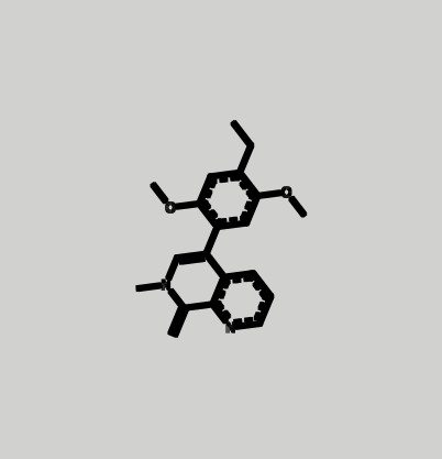 C=C1c2ncccc2C(c2cc(OC)c(CC)cc2OC)=CN1C